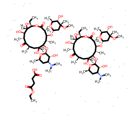 CCOC(=O)CCC(=O)O.CC[C@H]1OC(=O)[C@H](C)[C@@H](O[C@H]2C[C@@](C)(OC)[C@@H](O)[C@H](C)O2)[C@H](C)[C@@H](O[C@@H]2O[C@H](C)C[C@H](N(C)C)[C@H]2O)[C@](C)(O)C[C@@H](C)C(=O)[C@H](C)[C@@H](O)[C@]1(C)O.CC[C@H]1OC(=O)[C@H](C)[C@@H](O[C@H]2C[C@@](C)(OC)[C@@H](O)[C@H](C)O2)[C@H](C)[C@@H](O[C@@H]2O[C@H](C)C[C@H](N(C)C)[C@H]2O)[C@](C)(O)C[C@@H](C)C(=O)[C@H](C)[C@@H](O)[C@]1(C)O